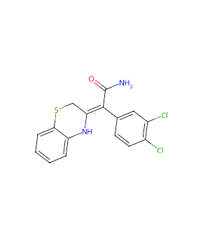 NC(=O)/C(=C1\CSc2ccccc2N1)c1ccc(Cl)c(Cl)c1